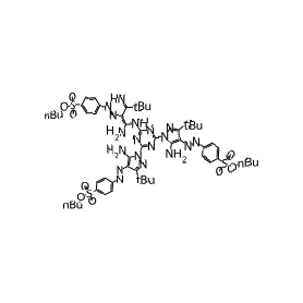 CCCCOS(=O)(=O)c1ccc(/N=N/C(C(=N)C(C)(C)C)=C(\N)Nc2nc(-n3nc(C(C)(C)C)c(/N=N/c4ccc(S(=O)(=O)OCCCC)cc4)c3N)nc(-n3nc(C(C)(C)C)c(/N=N/c4ccc(S(=O)(=O)OCCCC)cc4)c3N)n2)cc1